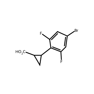 O=C(O)C1CC1c1c(F)cc(Br)cc1F